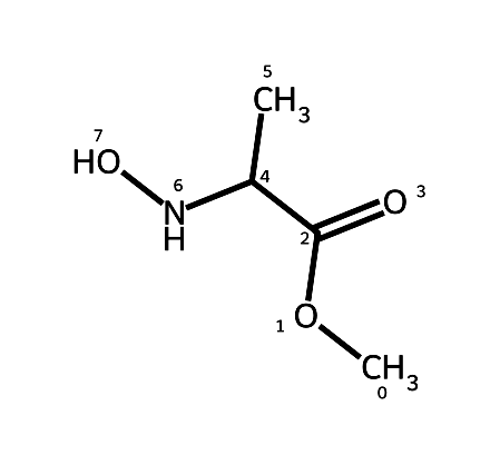 COC(=O)C(C)NO